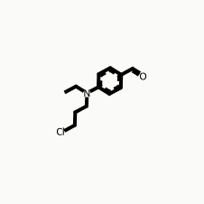 CCN(CCCCl)c1ccc(C=O)cc1